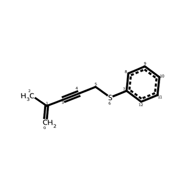 C=C(C)C#CCSc1ccccc1